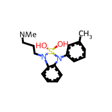 CNCCCN1c2ccccc2N(c2cccc(C)c2)S1(O)O